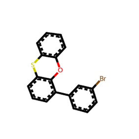 Brc1cccc(-c2cccc3c2Oc2ccccc2S3)c1